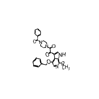 COc1ncc(OCc2ccccc2)c2c(C(=O)C(=O)N3CCN(C(=O)c4ccccc4)CC3)c[nH]c12